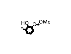 COCOc1cccc(F)c1O